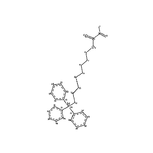 C=C(C)C(=O)OCCCCCCCC[PH](c1ccccc1)(c1ccccc1)c1ccccc1